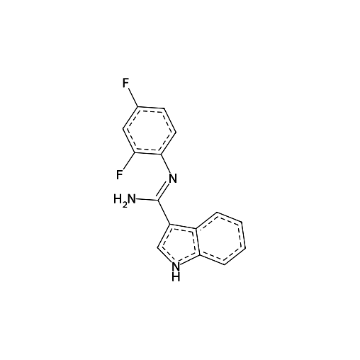 NC(=Nc1ccc(F)cc1F)c1c[nH]c2ccccc12